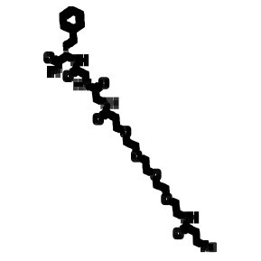 CC(=O)CCC(=O)NCCOCCOCCOCCOCCC(=O)NCC(=O)NCC(=O)N[C@@H](CCc1ccccc1)C(=O)C(C)C